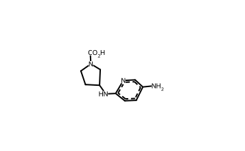 Nc1ccc(NC2CCN(C(=O)O)C2)nc1